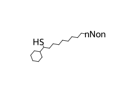 CCCCCCCCCCCCCCCCCC(S)C1CCCCC1